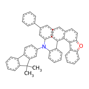 CC1(C)c2ccccc2-c2ccc(N(c3cccc(-c4ccccc4)c3)c3ccccc3-c3cccc4ccc5oc6ccccc6c5c34)cc21